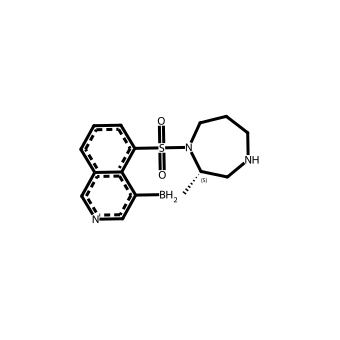 Bc1cncc2cccc(S(=O)(=O)N3CCCNC[C@@H]3C)c12